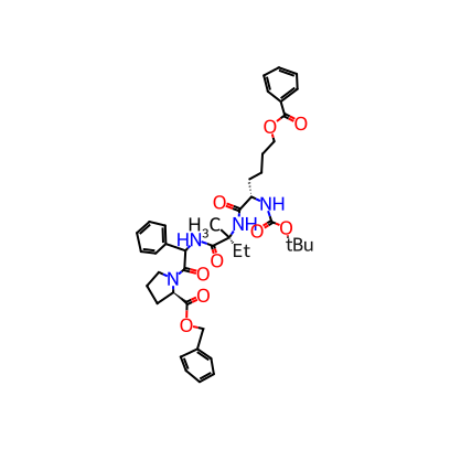 CC[C@](C)(NC(=O)[C@H](CCCCOC(=O)c1ccccc1)NC(=O)OC(C)(C)C)C(=O)NC(C(=O)N1CCC[C@@H]1C(=O)OCc1ccccc1)c1ccccc1